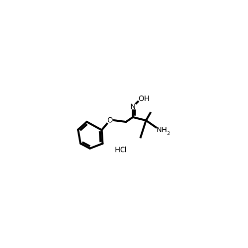 CC(C)(N)C(COc1ccccc1)=NO.Cl